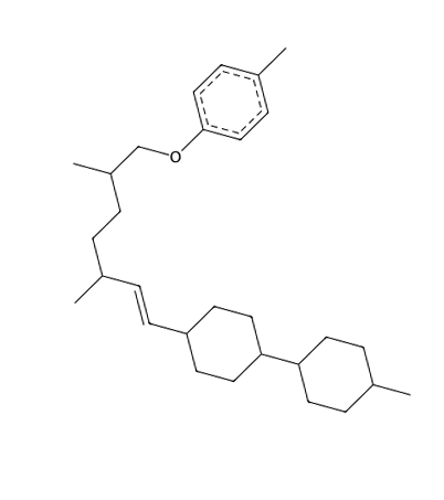 Cc1ccc(OCC(C)CCC(C)/C=C/C2CCC(C3CCC(C)CC3)CC2)cc1